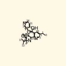 CCc1cnc(C2=NC(C)(C(C)C)C(=O)N2)c(C(=O)O)c1.c1cncnc1